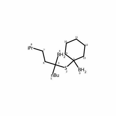 BC1(SC(B)(CCCC)CCC(C)C)CCCCC1